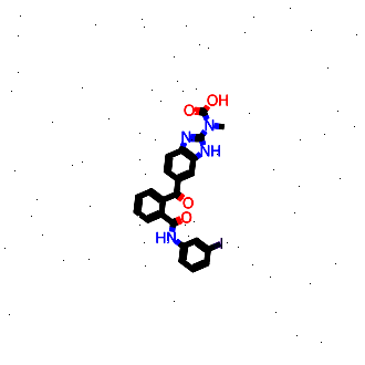 CN(C(=O)O)c1nc2ccc(C(=O)c3ccccc3C(=O)Nc3cccc(I)c3)cc2[nH]1